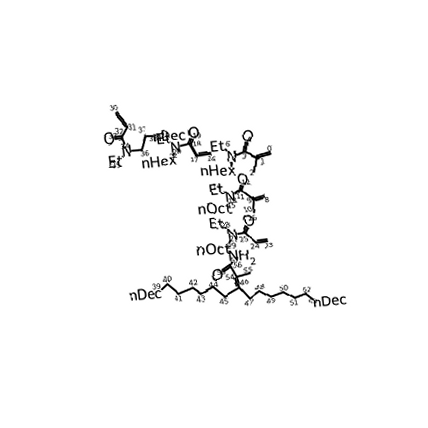 C=C(C)C(=O)N(CC)CCCCCC.C=C(C)C(=O)N(CC)CCCCCCCC.C=CC(=O)N(CC)CCCCCC.C=CC(=O)N(CC)CCCCCCCC.C=CC(=O)N(CC)CCCCCCCCCCCC.CCCCCCCCCCCCCCCCC(CCCCCCCCCCCCCCCC)=C(C)C(N)=O